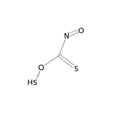 O=NC(=S)OS